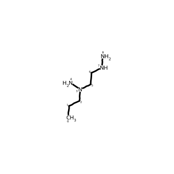 CCCN(N)CCNN